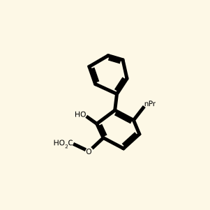 CCCc1ccc(OC(=O)O)c(O)c1-c1ccccc1